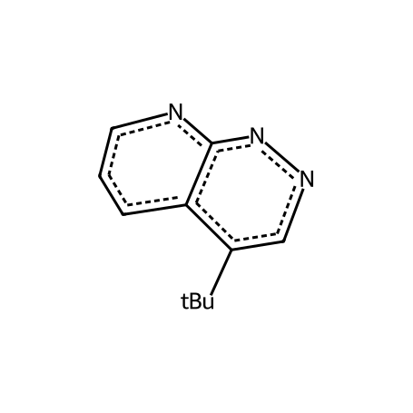 CC(C)(C)c1cnnc2ncccc12